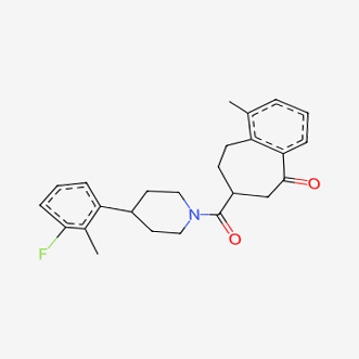 Cc1cccc2c1CCC(C(=O)N1CCC(c3cccc(F)c3C)CC1)CC2=O